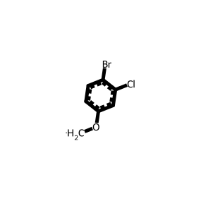 [CH2]Oc1ccc(Br)c(Cl)c1